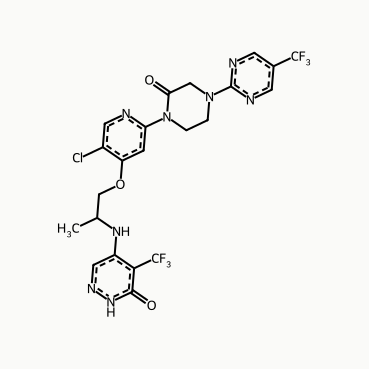 CC(COc1cc(N2CCN(c3ncc(C(F)(F)F)cn3)CC2=O)ncc1Cl)Nc1cn[nH]c(=O)c1C(F)(F)F